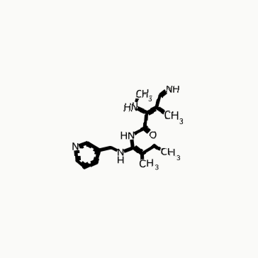 CC/C(C)=C(/NCc1cccnc1)NC(=O)/C(NC)=C(\C)C=N